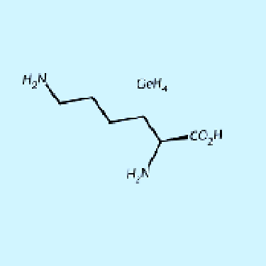 NCCCC[C@H](N)C(=O)O.[GeH4]